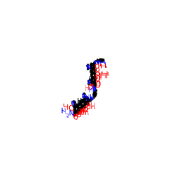 CN(C)c1cc(CNCC(C)(C)C)c(O)c2c1C=C1C[C@H]3[C@H](N(C)C)C(O)=C(C(=O)NCC(C)(C)CNCc4cc(N(C)C)c5c(c4O)C(=O)C4=C(O)[C@]6(O)C(=O)C(C(N)=O)=C(O)[C@H](N(C)C)[C@@H]6C[C@@H]4C5)C(=O)[C@@]3(O)C(O)=C1C2=O